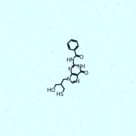 O=C(Nc1nc2c(ncn2CC(CO)CS)c(=O)[nH]1)c1ccccc1